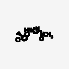 CN(C=O)Cc1ccc(NC2Cc3ccc(Cl)c(C4CC4)c3C2)cn1